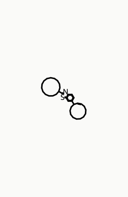 C1=C\C(c2ccc3nc(C4CCCCCCCCCCCCCC4)sc3c2)CCCCCCCCCC/1